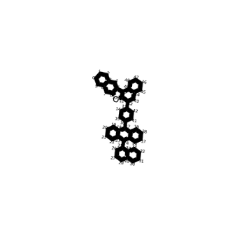 c1ccc2cc3c(cc2c1)oc1c(-c2ccc(-c4c5ccccc5c(-c5cccc6ccccc56)c5ccccc45)cc2)cc2ccccc2c13